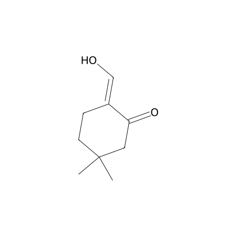 CC1(C)CC/C(=C\O)C(=O)C1